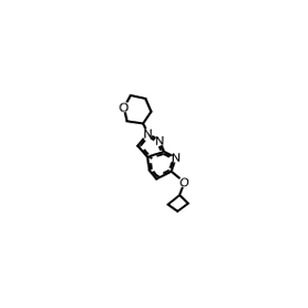 c1cc2cn(C3CCCOC3)nc2nc1OC1CCC1